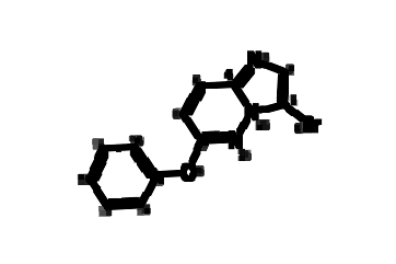 Brc1cnc2ccc(Oc3ccccc3)nn12